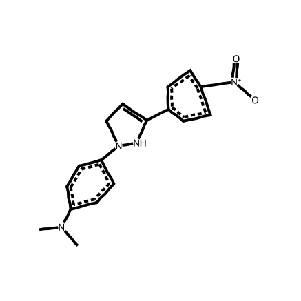 CN(C)c1ccc(N2CC=C(c3ccc([N+](=O)[O-])cc3)N2)cc1